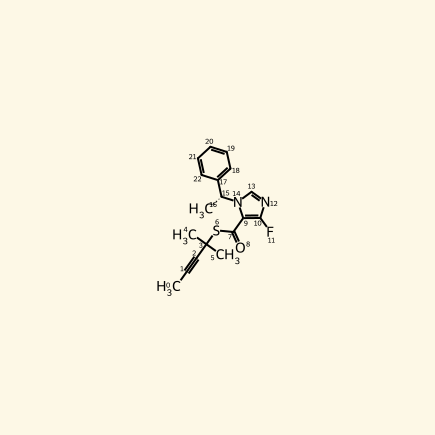 CC#CC(C)(C)SC(=O)c1c(F)ncn1[C@H](C)c1ccccc1